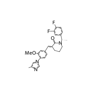 COc1cc(/C=C2\CCCN([C@@H](C)c3ccc(F)c(F)c3)C2=O)ccc1-n1cnc(C)c1